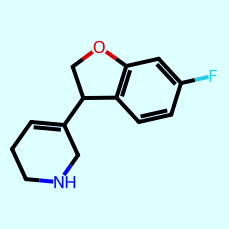 Fc1ccc2c(c1)OCC2C1=CCCNC1